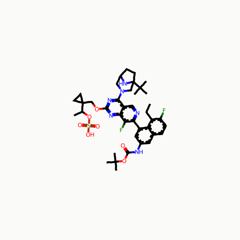 CCc1c(F)ccc2cc(NC(=O)OC(C)(C)C)cc(-c3ncc4c(N5CC6CCC(C(C)(C)C)(C5)N6)nc(OCC5(C(C)OS(=O)(=O)O)CC5)nc4c3F)c12